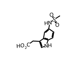 CS(=O)(=O)Nc1ccc2[nH]cc(CC(=O)O)c2c1